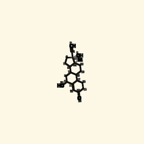 C#C[C@]1(O)CCC2C3CC(O)C4=CC(=O)CCC4C3CC[C@@]21CC